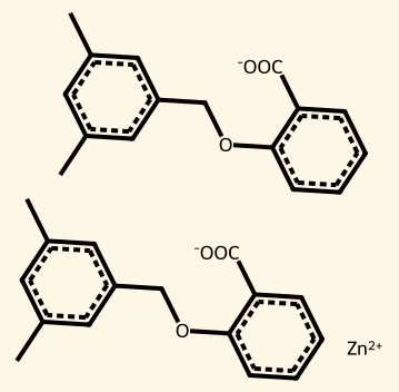 Cc1cc(C)cc(COc2ccccc2C(=O)[O-])c1.Cc1cc(C)cc(COc2ccccc2C(=O)[O-])c1.[Zn+2]